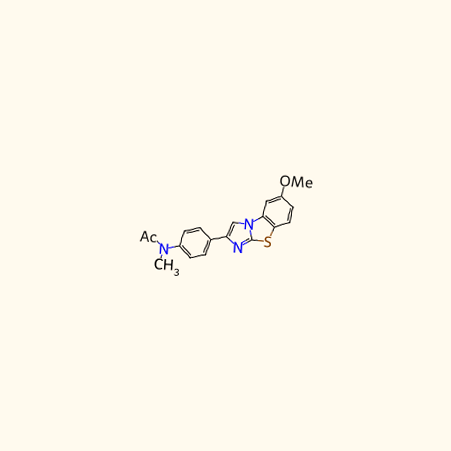 COc1ccc2sc3nc(-c4ccc(N(C)C(C)=O)cc4)cn3c2c1